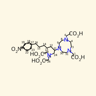 O=C(O)CN1CCN(CC(=O)O)CCN(C(CCCCCc2ccc([N+](=O)[O-])cc2)CN(CC(=O)O)CC(=O)O)CC1